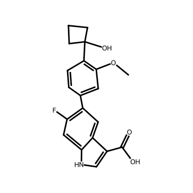 COc1cc(-c2cc3c(C(=O)O)c[nH]c3cc2F)ccc1C1(O)CCC1